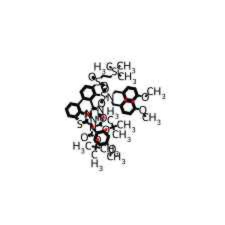 COc1ccc(CN(Cc2ccc(OC)cc2)S(=O)(=O)c2c(S(=O)(=O)CC[Si](C)(C)C)ccc(-c3cccc4sc(N(C(=O)OC(C)(C)C)C(=O)OC(C)(C)C)nc34)c2-c2nnn(Cc3ccc(OC)cc3)n2)cc1